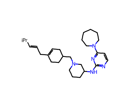 CC(C)/C=C/CC1=CCC(CN2CCCC(Nc3nccc(N4CCCCCC4)n3)C2)CC1